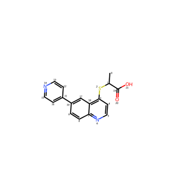 CC(Sc1ccnc2ccc(-c3ccncc3)cc12)C(=O)O